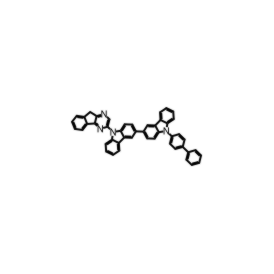 c1ccc(-c2ccc(-n3c4ccccc4c4cc(-c5ccc6c(c5)c5ccccc5n6-c5cnc6c(n5)-c5ccccc5C6)ccc43)cc2)cc1